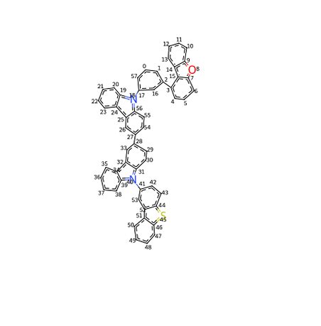 c1cc(-c2cccc3oc4ccccc4c23)cc(-n2c3ccccc3c3cc(-c4ccc5c(c4)c4ccccc4n5-c4ccc5sc6ccccc6c5c4)ccc32)c1